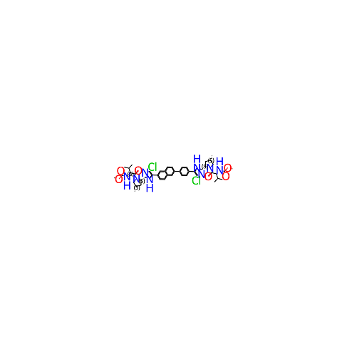 COC(=O)NC(C(=O)N1C[C@@H](C)C[C@H]1c1nc(Cl)c(-c2ccc(-c3ccc4cc(-c5[nH]c([C@@H]6C[C@H](C)CN6C(=O)[C@@H](NC(=O)OC)C(C)C)nc5Cl)ccc4c3)cc2)[nH]1)C(C)C